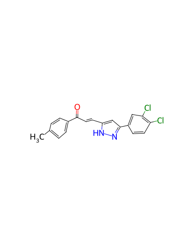 Cc1ccc(C(=O)/C=C/c2cc(-c3ccc(Cl)c(Cl)c3)n[nH]2)cc1